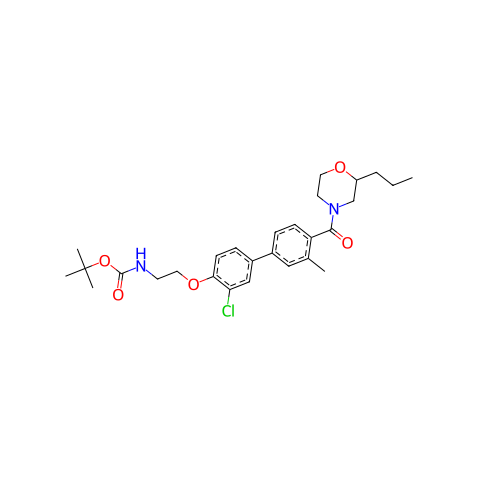 CCCC1CN(C(=O)c2ccc(-c3ccc(OCCNC(=O)OC(C)(C)C)c(Cl)c3)cc2C)CCO1